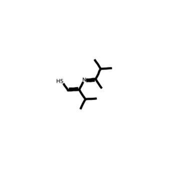 C/C(=N\C(=C/S)C(C)C)C(C)C